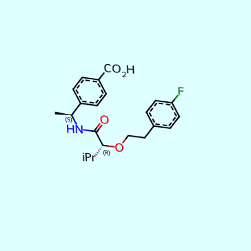 CC(C)[C@@H](OCCc1ccc(F)cc1)C(=O)N[C@@H](C)c1ccc(C(=O)O)cc1